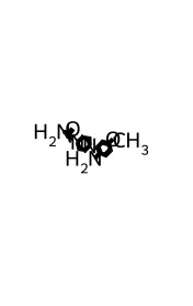 COc1ccc(N)c(N2CCN(CC(N)=O)CC2)c1